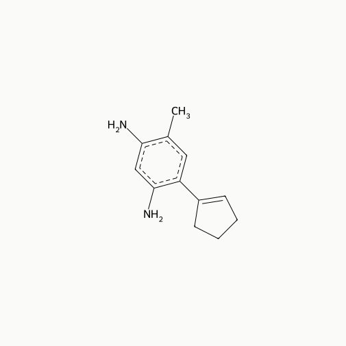 Cc1cc(C2=CCCC2)c(N)cc1N